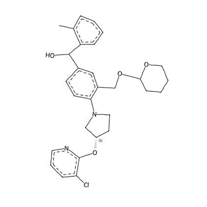 Cc1ccccc1C(O)c1ccc(N2CC[C@H](Oc3ncccc3Cl)C2)c(COC2CCCCO2)c1